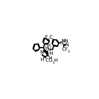 O=C(O)[C@@H]1CN2CC[C@H]1[C@H](NCc1cc(-n3nnnc3C(F)(F)F)cc(C(F)(F)F)c1)[C@@H]2C(c1ccccc1)c1ccccc1